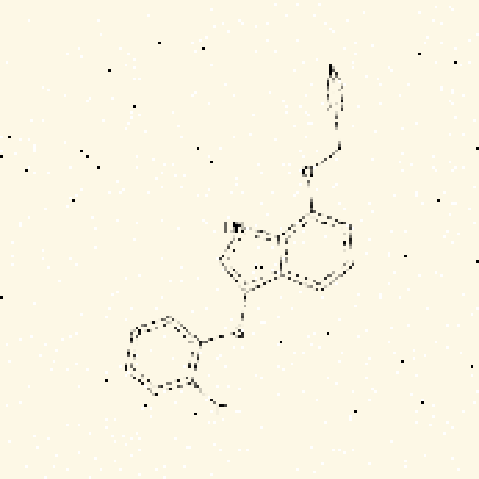 N#CCOc1cccc2c(Sc3ccccc3F)c[nH]c12